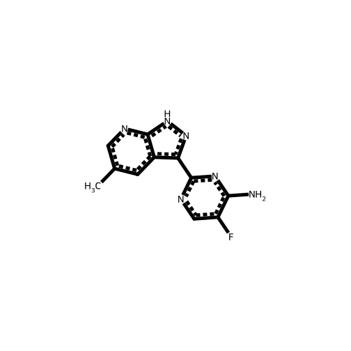 Cc1cnc2[nH]nc(-c3ncc(F)c(N)n3)c2c1